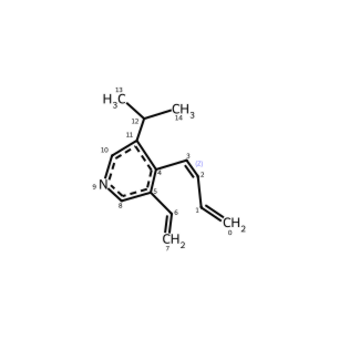 C=C/C=C\c1c(C=C)cncc1C(C)C